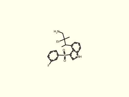 CCC(C)(CN)C(C)c1cccc2[nH]cc(S(=O)(=O)c3cccc(F)c3)c12